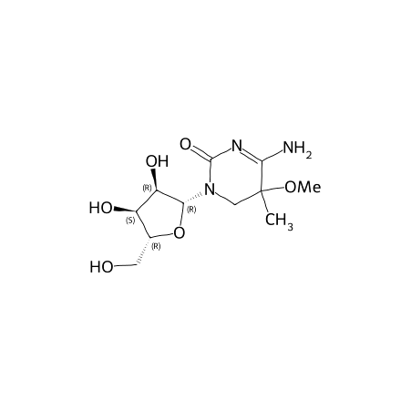 COC1(C)CN([C@@H]2O[C@H](CO)[C@@H](O)[C@H]2O)C(=O)N=C1N